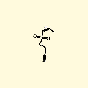 C#CCOS(=O)(=O)/C=C\C